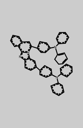 C1=CCCC(N(c2ccccc2)c2ccc(-c3cc4ccccc4c4nc5ccc(-c6ccc(N(c7ccccc7)c7ccccc7)cc6)cc5n34)cc2)=C1